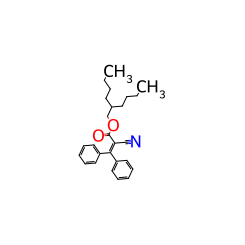 CCCCC(CCCC)COC(=O)C(C#N)=C(c1ccccc1)c1ccccc1